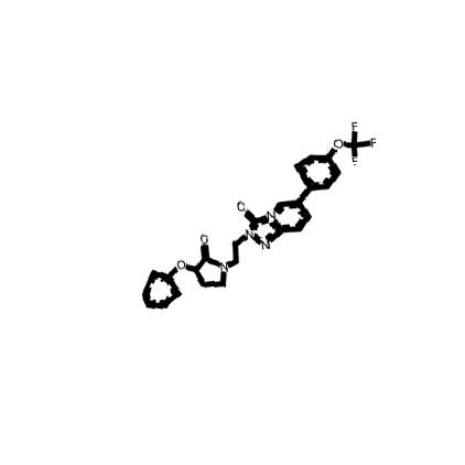 O=C1C(Oc2ccccc2)CCN1CCn1nc2ccc(-c3ccc(OC(F)(F)F)cc3)cn2c1=O